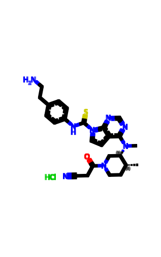 C[C@@H]1CCN(C(=O)CC#N)C[C@@H]1N(C)c1ncnc2c1ccn2C(=S)Nc1ccc(CCN)cc1.Cl